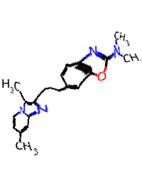 Cc1ccn2c(C)c(CCc3ccc4nc(N(C)C)oc4c3)nc2c1